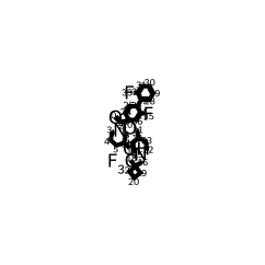 O=C(N1CCCC(O)C1)C1(OCC2CCN(CC3(C(F)(F)F)CCC3)CC2)C=CC(c2ccccc2F)C(F)=C1